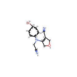 N#CCN(C1=C(C#N)COC1)c1ccc(Br)cc1